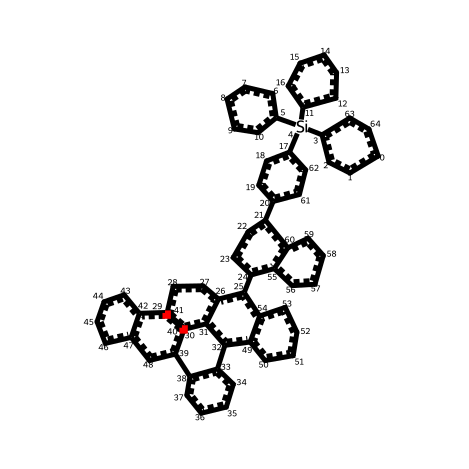 c1ccc([Si](c2ccccc2)(c2ccccc2)c2ccc(-c3ccc(-c4c5ccccc5c(-c5ccccc5-c5ccc6ccccc6c5)c5ccccc45)c4ccccc34)cc2)cc1